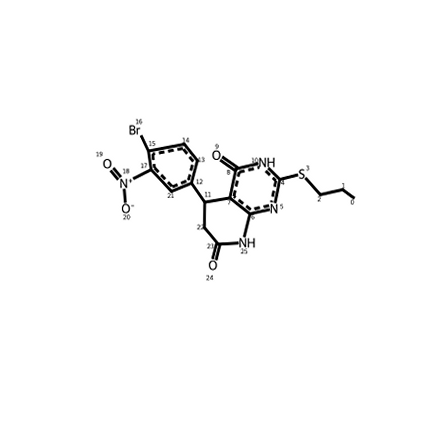 CCCSc1nc2c(c(=O)[nH]1)C(c1ccc(Br)c([N+](=O)[O-])c1)CC(=O)N2